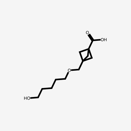 O=C(O)C12CC(COCCCCCO)(C1)C2